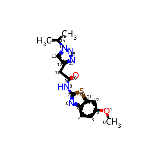 COc1ccc2nc(NC(=O)Cc3cn(C(C)C)nn3)sc2c1